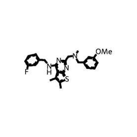 COc1cccc(CN(C)Cc2nc(NCc3cccc(F)c3)c3c(C)c(C)sc3n2)c1